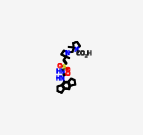 CC1(/C=C/S(=O)(=O)NC(=O)Nc2c3c(cc4c2CCC4)CCC3)CCN1CC1(C)CCCN1C(=O)O